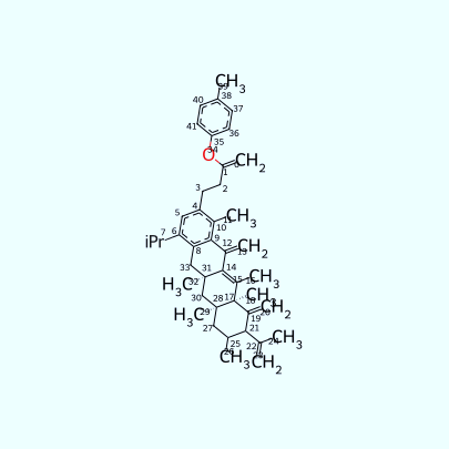 C=C(CCc1cc(C(C)C)c2c(c1C)C(=C)C1=C(C)[C@@]3(C)C(=C)C(C(=C)C)C(C)C[C@@]3(C)C[C@@]1(C)C2)Oc1ccc(C)cc1